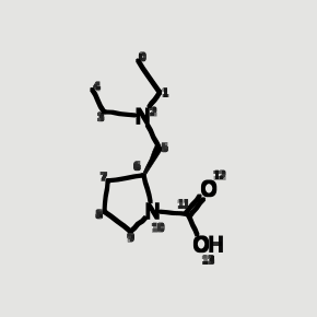 CCN(CC)C[C@@H]1CCCN1C(=O)O